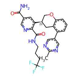 Cc1ncc(-c2cccc3c2C[C@@H](c2cc(C(N)=O)cnc2C(=O)NCCCC(F)(F)F)CO3)cn1